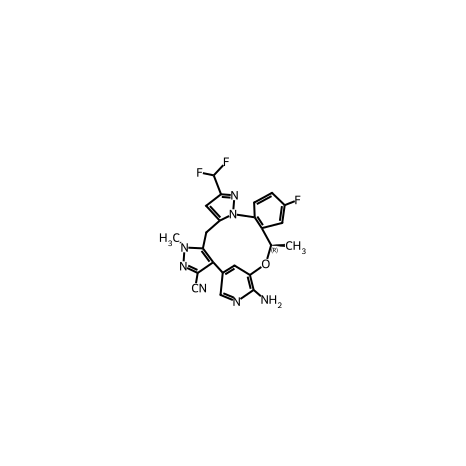 C[C@H]1Oc2cc(cnc2N)-c2c(C#N)nn(C)c2Cc2cc(C(F)F)nn2-c2ccc(F)cc21